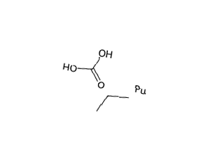 CCC.O=C(O)O.[Pu]